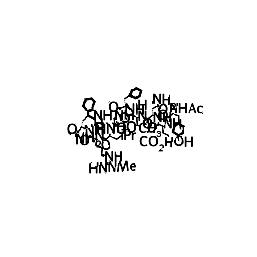 CNC(=N)NCCC[C@H](NC(=O)[C@H](CC(C)C)NC(=O)CNC(=O)[C@H](Cc1ccccc1)NC(=O)[C@@H](NC(=O)[C@H](CC(N)=O)NC(=O)[C@H](CCC(=O)O)NC(=O)[C@@H](Cc1ccc(O)cc1)NC(C)=O)[C@@H](C)O)C(=O)N[C@@H](Cc1c[nH]c2ccccc12)C(N)=O